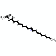 CCCCCCCC/C=C/CCCCCCCC(=O)OC(C)O